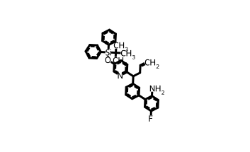 C=CCC(c1cccc(-c2cc(F)ccc2N)c1)c1ccc(O[Si](c2ccccc2)(c2ccccc2)C(C)(C)C)cn1